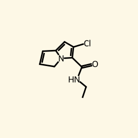 CCNC(=O)c1c(Cl)cc2n1CC=C2